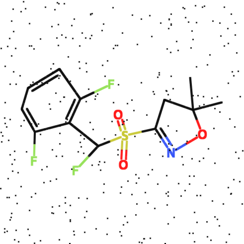 CC1(C)CC(S(=O)(=O)C(F)c2c(F)cccc2F)=NO1